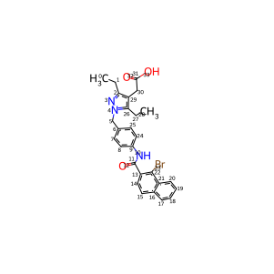 CCc1nn(Cc2ccc(NC(=O)c3ccc4ccccc4c3Br)cc2)c(CC)c1CC(=O)O